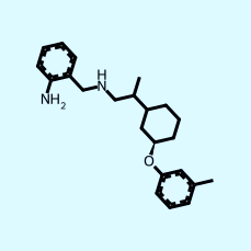 Cc1cccc(O[C@@H]2CCCC(C(C)CNCc3ccccc3N)C2)c1